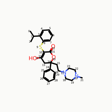 CC(C)c1ccccc1SC1=C(O)CC(CCN2CCN(C)CC2)(c2ccccc2)OC1=O